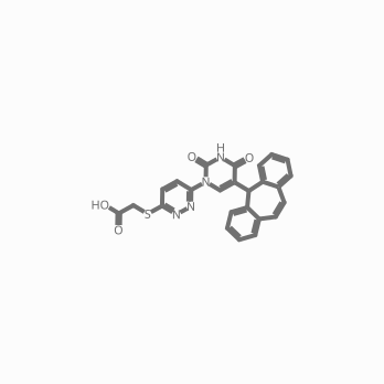 O=C(O)CSc1ccc(-n2cc(C3c4ccccc4C=Cc4ccccc43)c(=O)[nH]c2=O)nn1